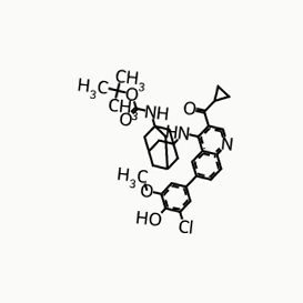 COc1cc(-c2ccc3ncc(C(=O)C4CC4)c(NC45CC6CC(CC(NC(=O)OC(C)(C)C)(C6)C4)C5)c3c2)cc(Cl)c1O